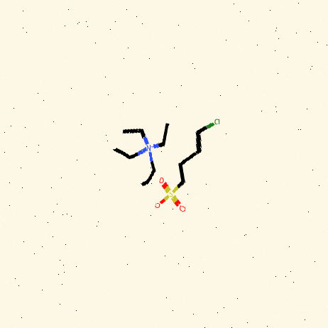 CC[N+](CC)(CC)CC.O=S(=O)([O-])CCCCCl